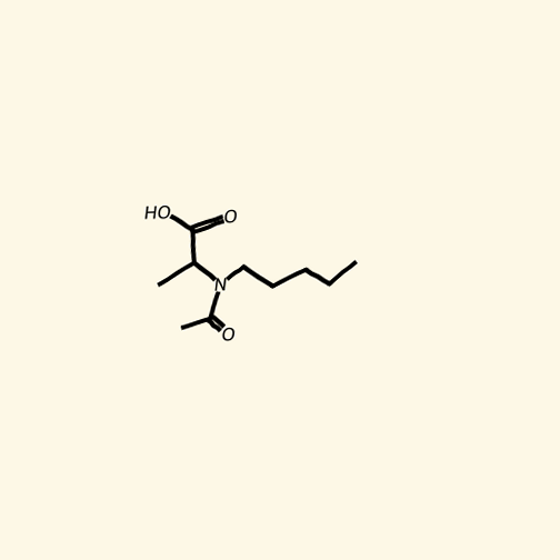 CCCCCN(C(C)=O)C(C)C(=O)O